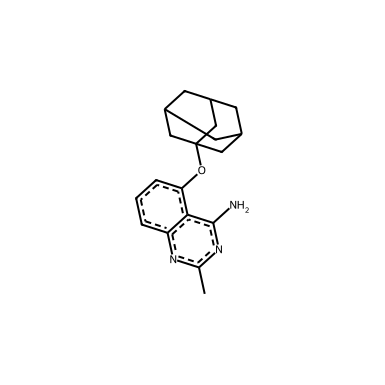 Cc1nc(N)c2c(OC34CC5CC(CC(C5)C3)C4)cccc2n1